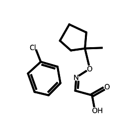 CC1(O/N=C\C(=O)O)CCCC1.Clc1ccccc1